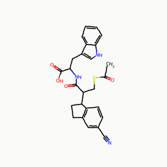 CC(=O)SCC(C(=O)NC(Cc1c[nH]c2ccccc12)C(=O)O)C1CCc2cc(C#N)ccc21